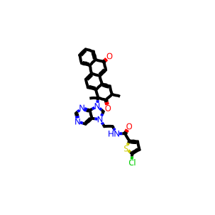 CC1C=c2c(ccc3c2=CC(=O)c2ccccc2-3)C(C)(N2CN(CCNC(=O)c3ccc(Cl)s3)c3cncnc32)C1=O